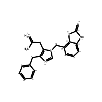 C=C(N)Cc1c(Cc2ccccc2)ncn1Cc1cccc2[nH]c(=O)oc12